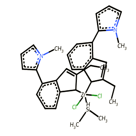 CCC1=Cc2c(-c3cccn3C)cccc2[CH]1[Zr]([Cl])([Cl])([CH]1C(CC)=Cc2c(-c3cccn3C)cccc21)[SiH](C)C